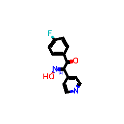 O=C(/C(=N/O)c1ccncc1)c1ccc(F)cc1